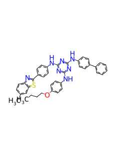 CCCCOc1ccc(Nc2nc(Nc3ccc(-c4ccccc4)cc3)nc(Nc3ccc(-c4nc5ccc(C)cc5s4)cc3)n2)cc1